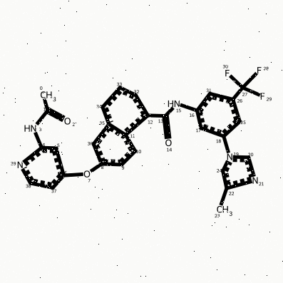 CC(=O)Nc1cc(Oc2ccc3c(C(=O)Nc4cc(-n5cnc(C)c5)cc(C(F)(F)F)c4)cccc3c2)ccn1